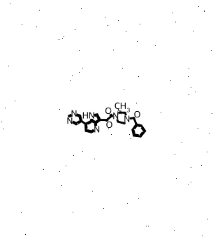 C[C@@H]1CN(C(=O)c2ccccc2)CCN1C(=O)C(=O)c1c[nH]c2c(-c3cncnc3)ccnc12